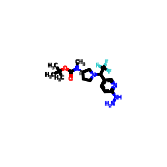 CN(C(=O)OC(C)(C)C)[C@H]1CCN(C(c2ccc(NN)nc2)C(F)(F)F)C1